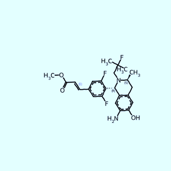 COC(=O)/C=C/c1cc(F)c([C@H]2c3cc(N)c(O)cc3C[C@H](C)N2CC(C)(C)F)c(F)c1